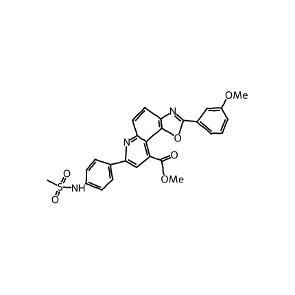 COC(=O)c1cc(-c2ccc(NS(C)(=O)=O)cc2)nc2ccc3nc(-c4cccc(OC)c4)oc3c12